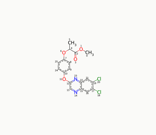 COC(=O)C(C)Oc1ccc(Oc2cnc3cc(Cl)c(Cl)cc3n2)cc1